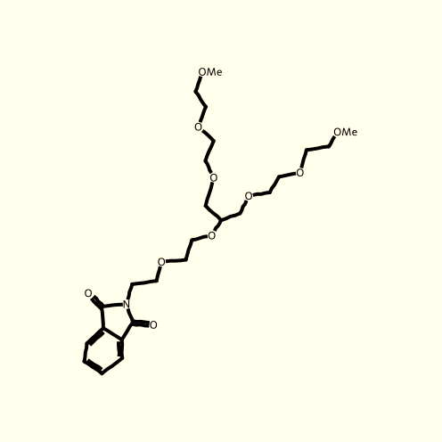 COCCOCCOCC(COCCOCCOC)OCCOCCN1C(=O)c2ccccc2C1=O